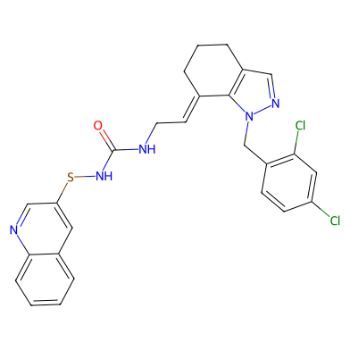 O=C(NC/C=C1\CCCc2cnn(Cc3ccc(Cl)cc3Cl)c21)NSc1cnc2ccccc2c1